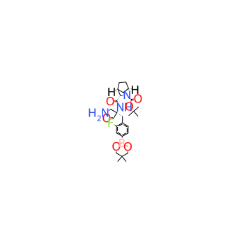 CC1(C)COB(c2ccc(C[C@](C=O)(CN)NC(=O)[C@@H]3[C@H]4CC[C@H](C4)N3C(=O)OC(C)(C)C)c(F)c2)OC1